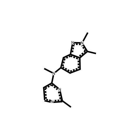 Cc1nccc(N(C)c2ccc3c(C)n(C)nc3c2)n1